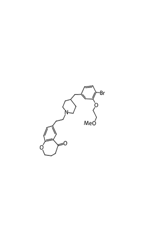 COCCOc1cc(CC2CCN(CCc3ccc4c(c3)C(=O)CCCO4)CC2)ccc1Br